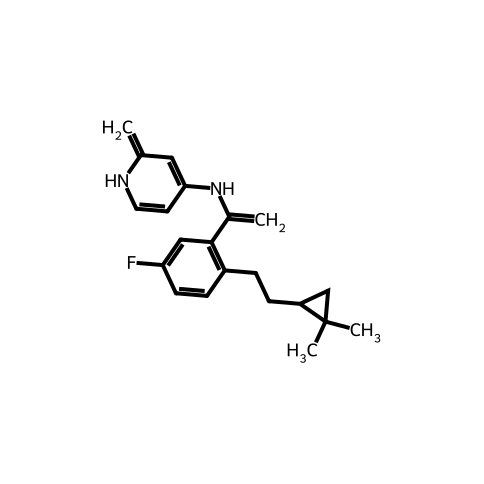 C=C1C=C(NC(=C)c2cc(F)ccc2CCC2CC2(C)C)C=CN1